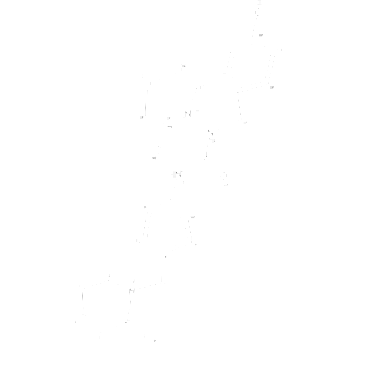 O=C1COCCN1Cc1ccc(NC(=O)N(Cc2ccc(Cl)cc2)N2CCOCC2=O)cc1